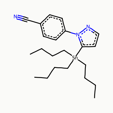 CCC[CH2][Sn]([CH2]CCC)([CH2]CCC)[c]1ccnn1-c1ccc(C#N)cc1